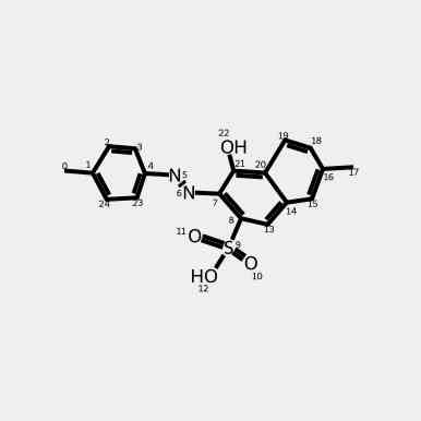 Cc1ccc(N=Nc2c(S(=O)(=O)O)cc3cc(C)ccc3c2O)cc1